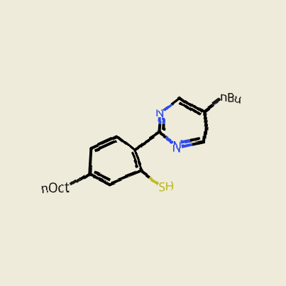 CCCCCCCCc1ccc(-c2ncc(CCCC)cn2)c(S)c1